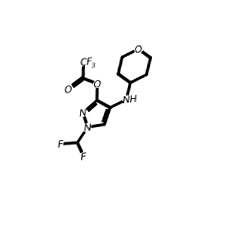 O=C(Oc1nn(C(F)F)cc1NC1CCOCC1)C(F)(F)F